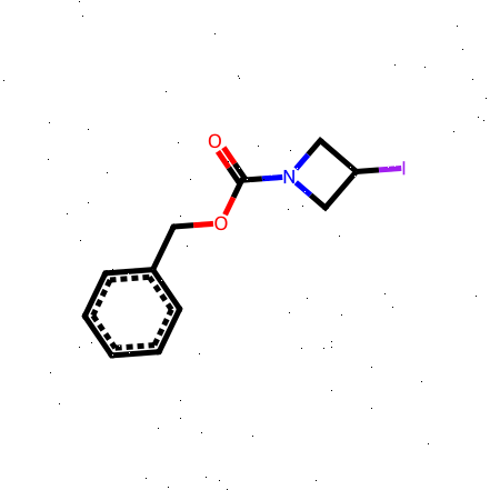 O=C(OCc1ccccc1)N1CC(I)C1